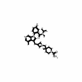 Cc1cncc2c1c(CC1CN(CC3(C)CCN(C(N)=O)CC3)C1)cn2-c1ccc(F)cc1C(=O)N(C)C(C)C